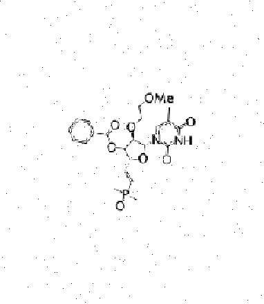 COCCO[C@@H]1[C@H](OC(=O)c2ccccc2)[C@@H](/C=C/P(C)(C)=O)O[C@H]1n1cc(C)c(=O)[nH]c1=O